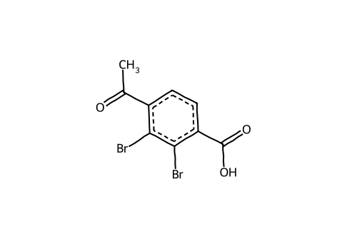 CC(=O)c1ccc(C(=O)O)c(Br)c1Br